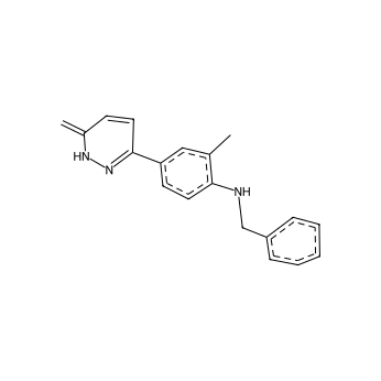 C=C1C=CC(c2ccc(NCc3ccccc3)c(C)c2)=NN1